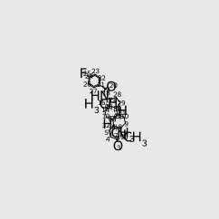 CN1C(=O)C=C[C@@]2(C)C1CC[C@@H]1[C@H]2CC[C@]2(C)C(NC(=O)c3ccc(F)cc3)CC[C@@H]12